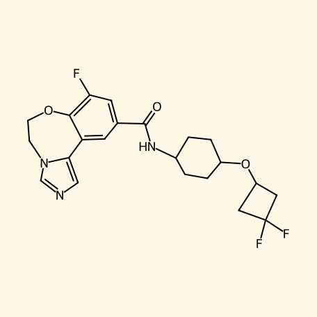 O=C(NC1CCC(OC2CC(F)(F)C2)CC1)c1cc(F)c2c(c1)-c1cncn1CCO2